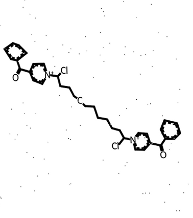 O=C(c1ccccc1)c1cc[n+](C(Cl)CCCCCCCCCCC(Cl)[n+]2ccc(C(=O)c3ccccc3)cc2)cc1